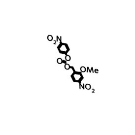 COc1cc([N+](=O)[O-])ccc1COC(=O)Oc1ccc([N+](=O)[O-])cc1